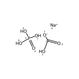 O=C([O-])O.O=P(O)(O)O.[Na+]